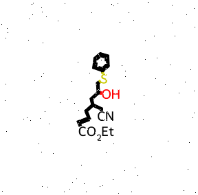 CCOC(=O)C=CCC(CC#N)CC(O)CSc1ccccc1